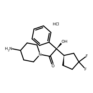 Cl.NC1CCN(C(=O)[C@](O)(c2ccccc2)[C@@H]2CCC(F)(F)C2)CC1